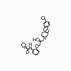 O=C(Nc1ccccc1OC[C@H](O)CN1CCC2(CC1)Cc1cc(Cl)ccc1O2)N1CCCC1